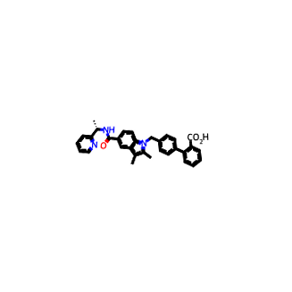 Cc1c(C)n(Cc2ccc(-c3ccccc3C(=O)O)cc2)c2ccc(C(=O)N[C@@H](C)c3ccccn3)cc12